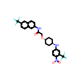 O=C(CO[C@H]1CC[C@H](Nc2ccc([N+](=O)[O-])c(C(F)(F)F)c2)CC1)Nc1ccc2cc(C(F)(F)F)ccc2c1